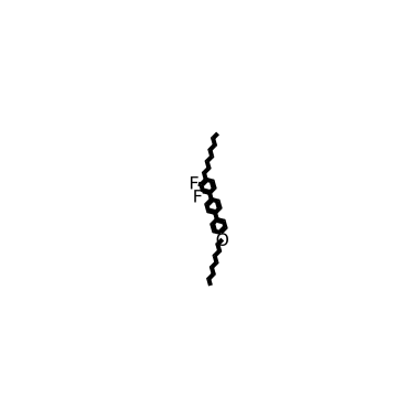 CCCCCCCCOc1ccc(-c2ccc(-c3ccc(CCCCCCCC)c(F)c3F)cc2)cc1